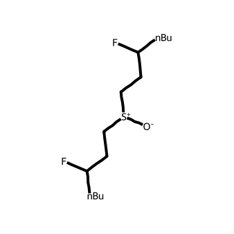 CCCCC(F)CC[S+]([O-])CCC(F)CCCC